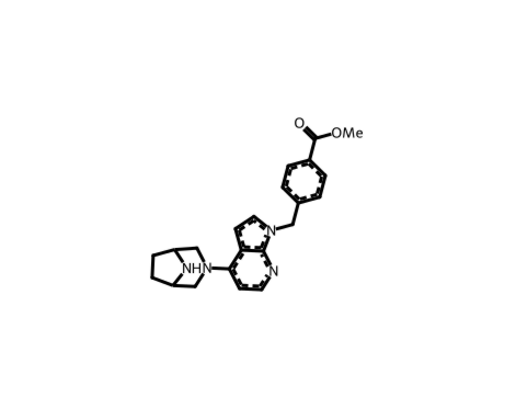 COC(=O)c1ccc(Cn2ccc3c(N4CC5CCC(C4)N5)ccnc32)cc1